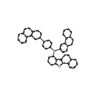 c1ccc2c(c1)ccc1ccc(-c3ccc(N(c4ccc5ccc6ccccc6c5c4)c4cccc5oc6c7ccccc7ccc6c45)cc3)cc12